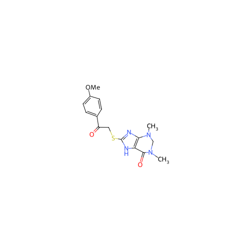 COc1ccc(C(=O)CSc2nc3c([nH]2)C(=O)N(C)CN3C)cc1